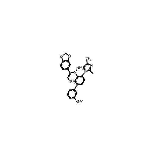 CSc1cccc(-c2ccc(-n3cc(C(F)(F)F)nc3C)c(N(N)/C(=C\N)c3ccc4c(c3)OCO4)c2)c1